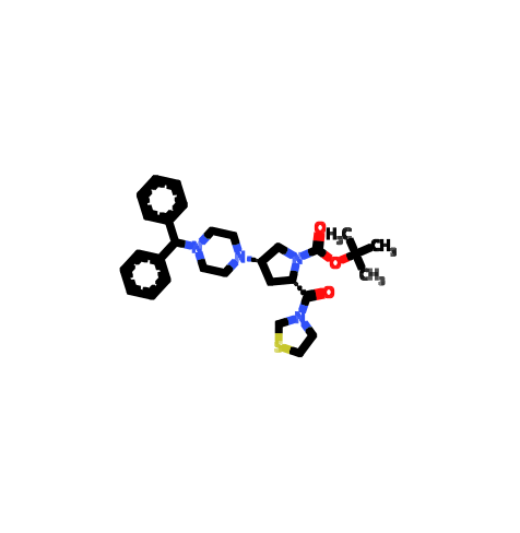 CC(C)(C)OC(=O)N1C[C@@H](N2CCN(C(c3ccccc3)c3ccccc3)CC2)C[C@H]1C(=O)N1CCSC1